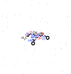 CCCC[C@H](NC(=O)[C@H](Cc1c[nH]c2ccccc12)NC(=O)[C@H](C)NC(=O)c1cc(C)on1)C(=O)C(=O)NCc1ccccc1